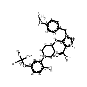 COc1ccc(Cn2nnc(C(=O)O)c2SC2CCN(c3cc(OC(F)(F)F)ccc3Cl)CC2)cc1